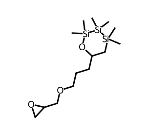 C[Si]1(C)CC(CCCOCC2CO2)O[Si](C)(C)[Si]1(C)C